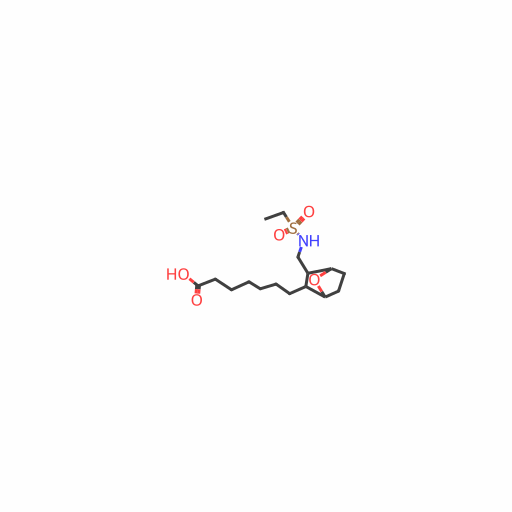 CCS(=O)(=O)NCC1C2CCC(O2)C1CCCCCCC(=O)O